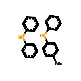 CCCCc1ccc(Pc2ccccc2)cc1.c1ccc(Pc2ccccc2)cc1